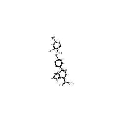 N#Cc1ccc(NCc2ccc(-c3ccc(C(N)=O)c4n[c]nn34)cc2)c(F)c1